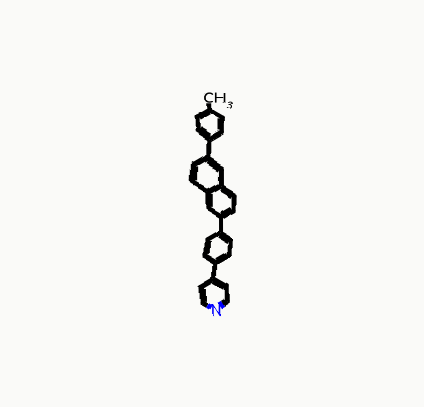 Cc1ccc(-c2ccc3cc(-c4ccc(-c5ccncc5)cc4)ccc3c2)cc1